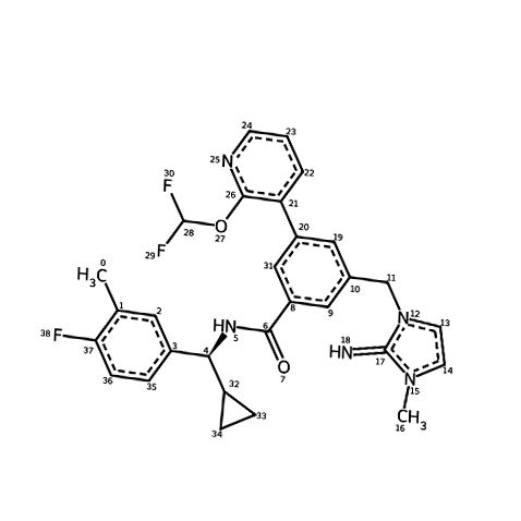 Cc1cc([C@@H](NC(=O)c2cc(Cn3ccn(C)c3=N)cc(-c3cccnc3OC(F)F)c2)C2CC2)ccc1F